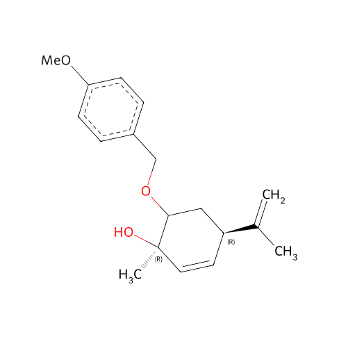 C=C(C)[C@H]1C=C[C@@](C)(O)C(OCc2ccc(OC)cc2)C1